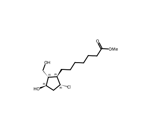 COC(=O)CCCCCC[C@@H]1[C@@H](CO)[C@H](O)C[C@H]1Cl